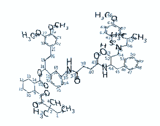 CCC(C)(C)C(=O)C(=O)C1CCCCC1C(=O)OC(CCc1ccc(OC)c(OC)c1)c1cccc(NC(=O)CCC(=O)NC(Cc2ccccc2)C(O)CN(CC(C)C)Sc2ccc(OC)cc2)c1